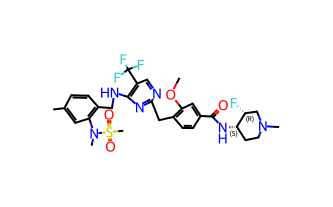 COc1cc(C(=O)N[C@H]2CCN(C)C[C@H]2F)ccc1Cc1ncc(C(F)(F)F)c(NCc2ccc(C)cc2N(C)S(C)(=O)=O)n1